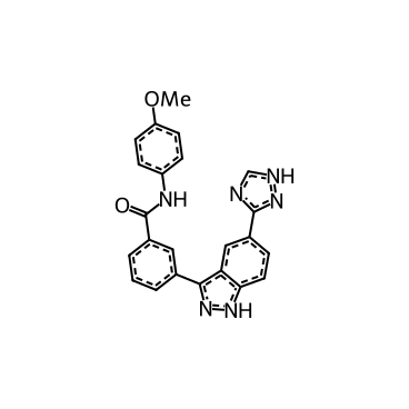 COc1ccc(NC(=O)c2cccc(-c3n[nH]c4ccc(-c5nc[nH]n5)cc34)c2)cc1